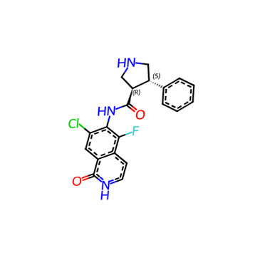 O=C(Nc1c(Cl)cc2c(=O)[nH]ccc2c1F)[C@H]1CNC[C@@H]1c1ccccc1